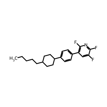 CCCCCC1CCC(c2ccc(-c3cc(F)c(F)nc3F)cc2)CC1